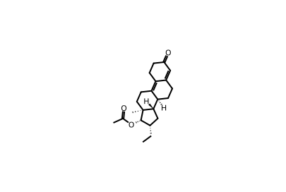 CC[C@H]1C[C@H]2[C@@H]3CCC4=CC(=O)CCC4=C3CC[C@]2(C)[C@H]1OC(C)=O